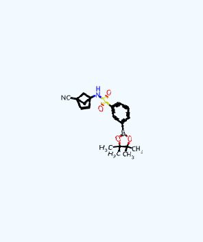 CC1(C)OB(c2cccc(S(=O)(=O)NC34CCC(C#N)(C3)C4)c2)OC1(C)C